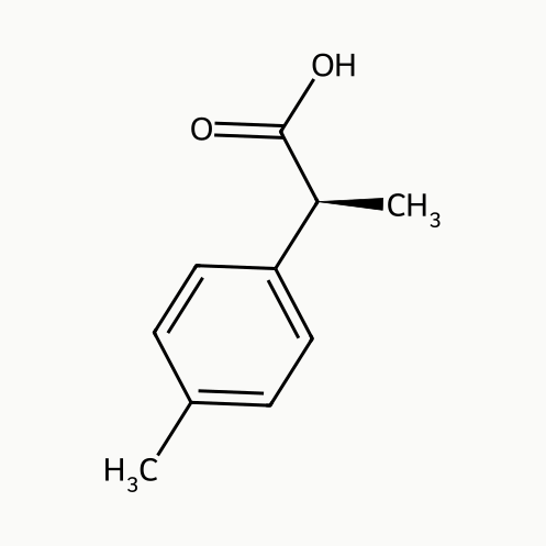 Cc1ccc([C@H](C)C(=O)O)cc1